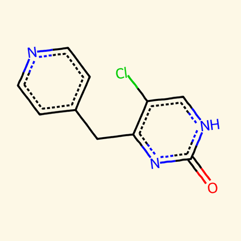 O=c1nc(Cc2ccncc2)c(Cl)c[nH]1